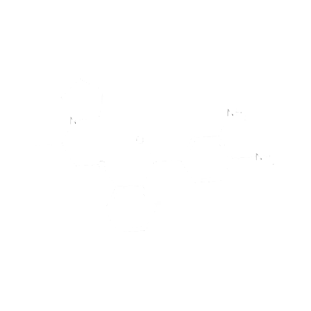 CC(COc1ccccc1C(=O)c1ccc(N)c(N)c1)N1CCCC1